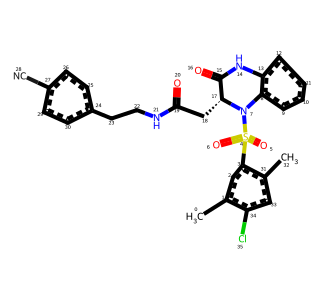 Cc1cc(S(=O)(=O)N2c3ccccc3NC(=O)[C@H]2CC(=O)NCCc2ccc(C#N)cc2)c(C)cc1Cl